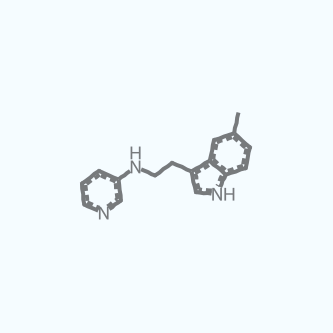 Cc1ccc2[nH]cc(CCNc3cccnc3)c2c1